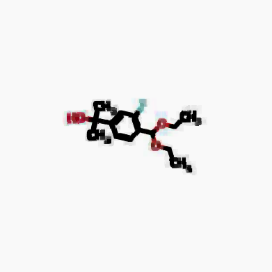 CCOC(OCC)c1ccc(C(C)(C)O)cc1F